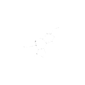 CCOc1cc(F)c(C2CNC(=O)C2C(=O)OC)c(F)c1